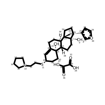 C[C@]12CC[C@H]3[C@@H](CCC4=C[C@@H](SCCN5CCCC5)CC[C@@]43C)[C@@H]1CC[C@@H]2c1ccoc1.O=C(O)C(=O)O